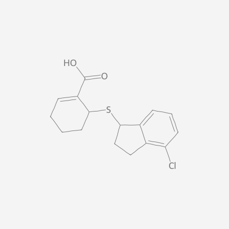 O=C(O)C1=CCCCC1SC1CCc2c(Cl)cccc21